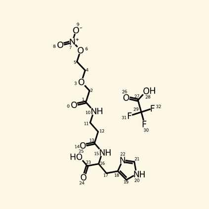 O=C(COCCO[N+](=O)[O-])NCCC(=O)NC(Cc1c[nH]cn1)C(=O)O.O=C(O)C(F)(F)F